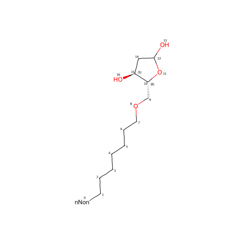 CCCCCCCCCCCCCCCCOC[C@H]1OC(O)C[C@@H]1O